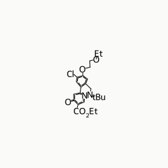 CCOCCOc1cc2c(cc1Cl)-c1cc(=O)c(C(=O)OCC)cn1N(C(C)(C)C)C2